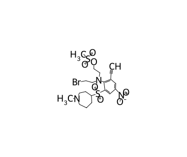 C#Cc1cc([N+](=O)[O-])cc(S(=O)(=O)C2CCCN(C)CC2)c1N(CCBr)CCOS(C)(=O)=O